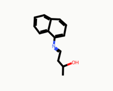 CC(O)CC=Nc1cccc2ccccc12